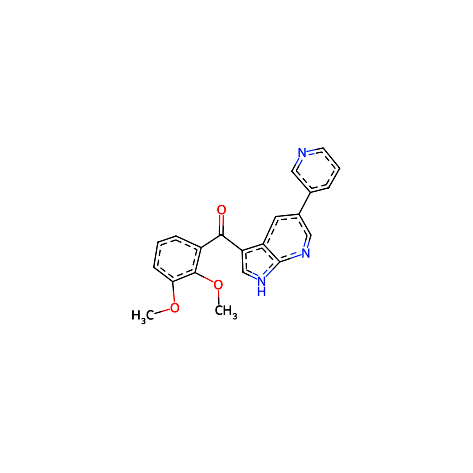 COc1cccc(C(=O)c2c[nH]c3ncc(-c4cccnc4)cc23)c1OC